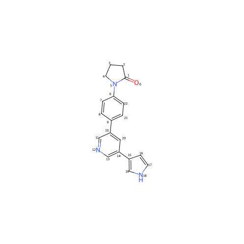 O=C1CCCN1c1ccc(-c2cncc(-c3cc[nH]c3)c2)cc1